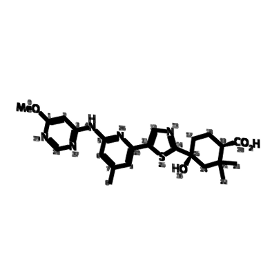 COc1cc(Nc2cc(C)cc(-c3cnc([C@]4(O)CC[C@@H](C(=O)O)C(C)(C)C4)s3)n2)ncn1